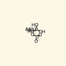 O=S([O-])[O-].OB(O)O.[Ag+].[Ag+]